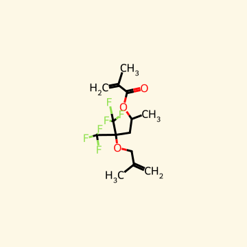 C=C(C)COC(CC(C)OC(=O)C(=C)C)(C(F)(F)F)C(F)(F)F